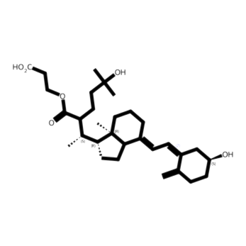 C=C1CC[C@H](O)C/C1=C/C=C1CCC[C@@]2(C)C1CC[C@@H]2[C@H](C)C(CCC(C)(C)O)C(=O)OCCC(=O)O